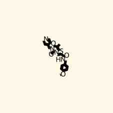 COc1ccc(CNC(=O)c2cn3c(=O)n(Cc4ccncc4)c(=O)c(C)c3s2)cc1